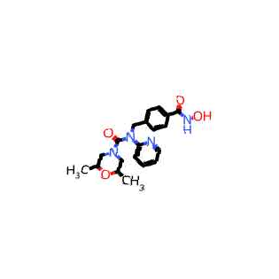 CC1CN(C(=O)N(Cc2ccc(C(=O)NO)cc2)c2ccccn2)CC(C)O1